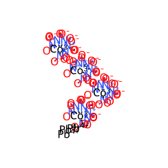 O=[N+]([O-])[Co-3]([N+](=O)[O-])([N+](=O)[O-])([N+](=O)[O-])([N+](=O)[O-])[N+](=O)[O-].O=[N+]([O-])[Co-3]([N+](=O)[O-])([N+](=O)[O-])([N+](=O)[O-])([N+](=O)[O-])[N+](=O)[O-].O=[N+]([O-])[Co-3]([N+](=O)[O-])([N+](=O)[O-])([N+](=O)[O-])([N+](=O)[O-])[N+](=O)[O-].O=[N+]([O-])[Co-3]([N+](=O)[O-])([N+](=O)[O-])([N+](=O)[O-])([N+](=O)[O-])[N+](=O)[O-].[Pb+4].[Pb+4].[Pb+4]